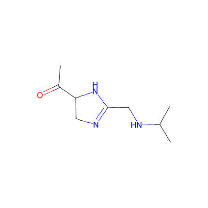 CC(=O)C1CN=C(CNC(C)C)N1